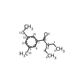 CCN(CC)C(=O)c1cc(C)cc(SC)c1